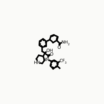 Cc1ccc(NC(=O)C(O)(Cc2cccc(C3C=CC=C(C(N)=O)C3)c2)C2CCNCC2)cc1C(F)(F)F